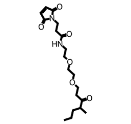 CCCC(C)C(=O)CCOCCOCCNC(=O)CCN1C(=O)C=CC1=O